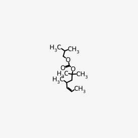 C/C=C\C(C)CC(C)(C)OC(=O)OCC(C)C